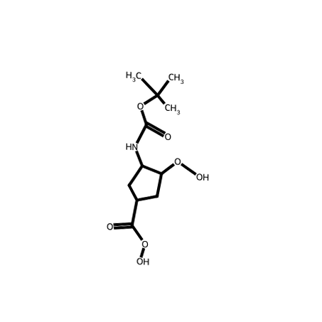 CC(C)(C)OC(=O)NC1CC(C(=O)OO)CC1OO